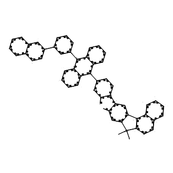 CC1(C)c2cc3oc4cc(-c5c6ccccc6c(-c6cccc(-c7ccc8ccccc8c7)c6)c6ccccc56)ccc4c3cc2-c2c1ccc1ccccc21